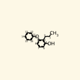 CCCc1c(O)cccc1Oc1ccccc1